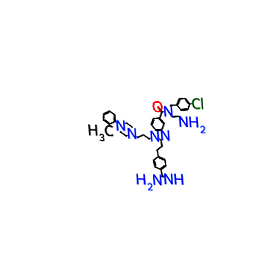 Cc1ccccc1N1CCN(CCCn2c(CCc3ccc(C(=N)N)cc3)nc3cc(C(=O)N(CCN)Cc4ccc(Cl)cc4)ccc32)CC1